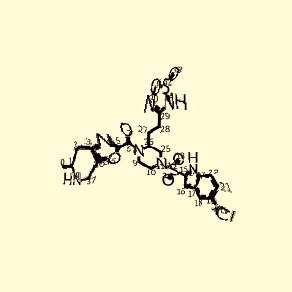 CC1Cc2nc(C(=O)N3CCN(S(=O)(=O)c4cc5cc(Cl)ccc5[nH]4)CC3CCC3=NOS(=O)N3)oc2CN1